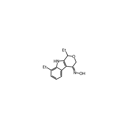 CC[C]1OCC(=NO)c2c1[nH]c1c(CC)cccc21